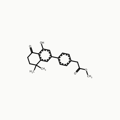 COC(=O)Cc1ccc(-c2cc(O)c3c(c2)C(C)(C)CCC3=O)cc1